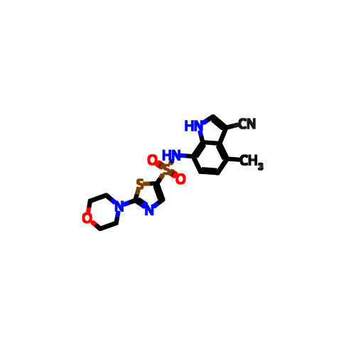 Cc1ccc(NS(=O)(=O)c2cnc(N3CCOCC3)s2)c2[nH]cc(C#N)c12